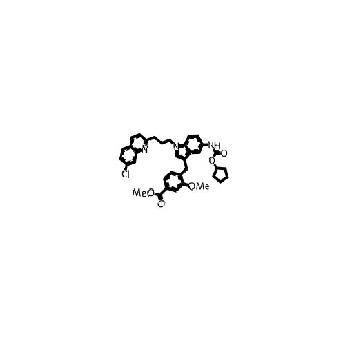 COC(=O)c1ccc(Cc2cn(CCCc3ccc4ccc(Cl)cc4n3)c3ccc(NC(=O)OC4CCCC4)cc23)c(OC)c1